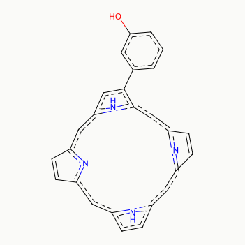 Oc1cccc(-c2cc3cc4nc(cc5ccc(cc6nc(cc2[nH]3)C=C6)[nH]5)C=C4)c1